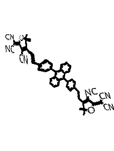 [C-]#[N+]C1=C(/C=C/c2ccc(-c3c4ccccc4c(-c4ccc(/C=C/C5=C(C#N)C(=C(\C#N)[N+]#[C-])/OC5(C)C)cc4)c4ccccc34)cc2)C(C)(C)OC1=C(C#N)C#N